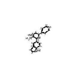 N.Nc1ncc(-c2ccncc2)nc1-c1ccc2[nH]ccc2c1